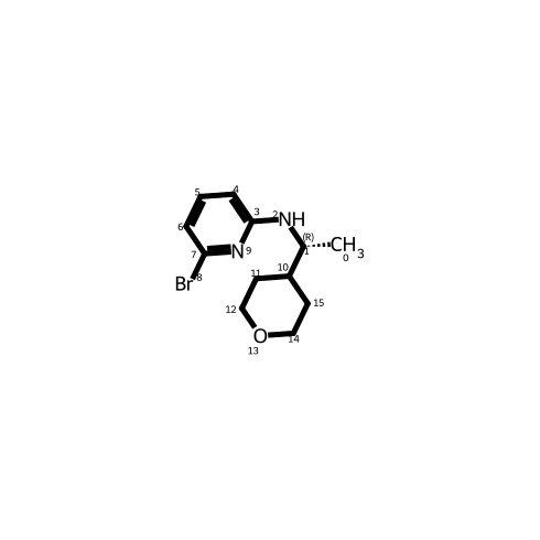 C[C@@H](Nc1cccc(Br)n1)C1CCOCC1